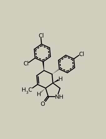 CC1=C[C@@H](c2ccc(Cl)cc2Cl)[C@H](c2ccc(Cl)cc2)[C@@H]2CNC(=O)[C@@H]12